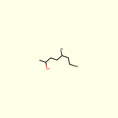 CC(C)CCC(CCC(C)O)C(C)C